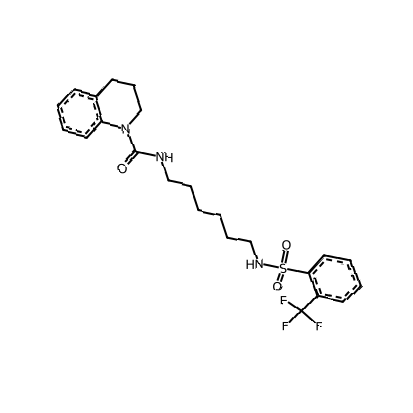 O=C(NCCCCCCNS(=O)(=O)c1ccccc1C(F)(F)F)N1CCCc2ccccc21